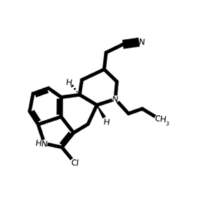 CCCN1CC(CC#N)C[C@@H]2c3cccc4[nH]c(Cl)c(c34)C[C@H]21